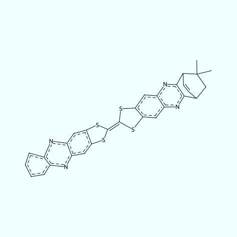 CC1(C)CC2C=CC1c1nc3cc4c(cc3nc12)SC(=C1Sc2cc3nc5ccccc5nc3cc2S1)S4